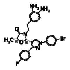 C[C@H]1O[C@@H](c2cn(-c3ccc(Br)cc3)nc2-c2ccc(F)cc2)N(CCc2ccc(N)c(N)c2)C1=O